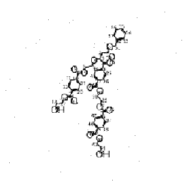 O=C(CC(OCCOC(=O)c1ccc(C(=O)OCCO)cc1)C(=O)c1ccc(C(=O)OCCOC(=O)c2ccc(C(=O)OCCO)cc2)cc1)OCc1ccccc1